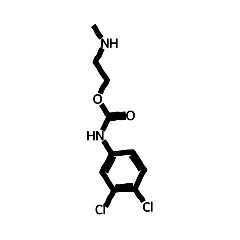 CNCCOC(=O)Nc1ccc(Cl)c(Cl)c1